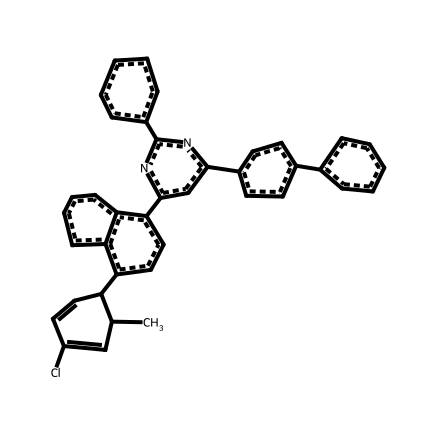 CC1C=C(Cl)C=CC1c1ccc(-c2cc(-c3ccc(-c4ccccc4)cc3)nc(-c3ccccc3)n2)c2ccccc12